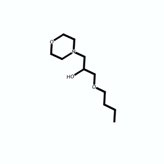 CCCCOCC(O)CN1CCOCC1